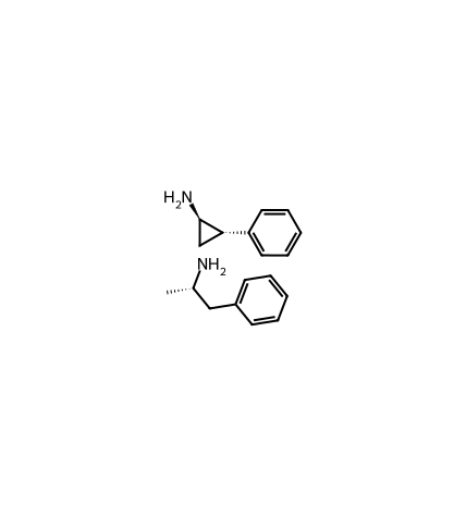 C[C@H](N)Cc1ccccc1.N[C@@H]1C[C@H]1c1ccccc1